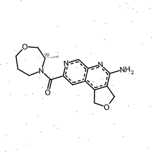 C[C@H]1COCCCN1C(=O)c1cc2c3c(c(N)nc2cn1)COC3